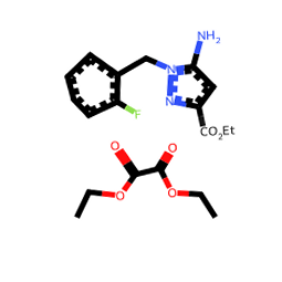 CCOC(=O)C(=O)OCC.CCOC(=O)c1cc(N)n(Cc2ccccc2F)n1